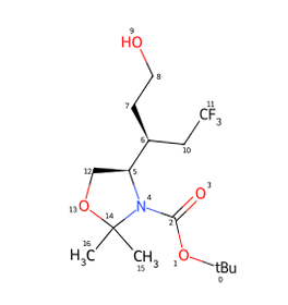 CC(C)(C)OC(=O)N1[C@H]([C@@H](CCO)CC(F)(F)F)COC1(C)C